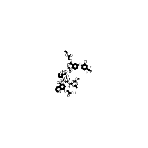 CCOC(=O)COC(=O)c1cc(Oc2ccc(C(F)(F)F)cc2Cl)ccc1[N+](=O)[O-].COc1nc(C)nc(NC(=O)NS(=O)(=O)c2ccsc2C(=O)O)n1.O=C(O)COc1ccc(Cl)c2cccnc12